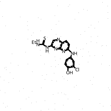 CCNC(=S)Nc1cnc2ccc(Nc3ccc(O)c(Cl)c3)nc2n1